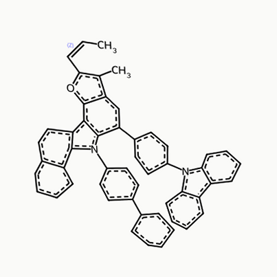 C/C=C\c1oc2c(cc(-c3ccc(-n4c5ccccc5c5ccccc54)cc3)c3c2c2ccc4ccccc4c2n3-c2ccc(-c3ccccc3)cc2)c1C